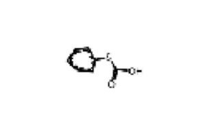 O=C(O)Sc1ccccc1